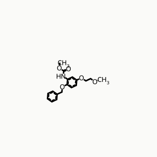 COCCOc1ccc(OCc2ccccc2)c(NC(=O)OC)c1